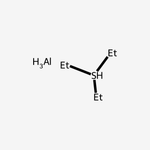 CC[SH](CC)CC.[AlH3]